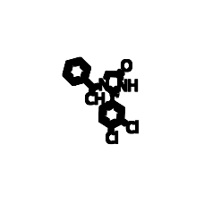 CC(c1ccccc1)N1CC(=O)N[C@H]1c1ccc(Cl)c(Cl)c1